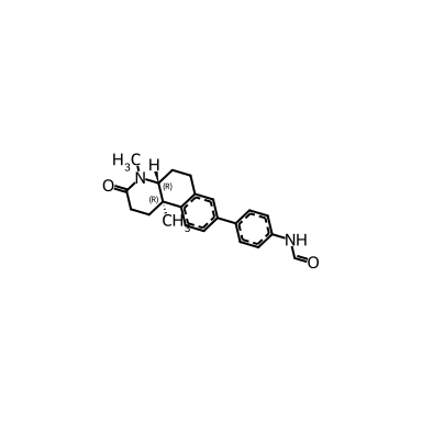 CN1C(=O)CC[C@]2(C)c3ccc(-c4ccc(NC=O)cc4)cc3CC[C@@H]12